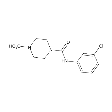 O=C(O)N1CCN(C(=O)Nc2cccc(Cl)c2)CC1